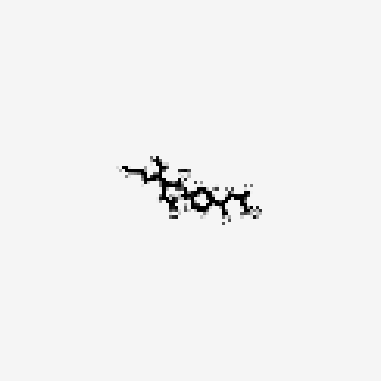 CCCCC(CC)C1CC(=O)N(c2ccc(C(C)CC(C)C=O)cc2)C1=O